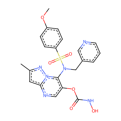 COc1ccc(S(=O)(=O)N(Cc2cccnc2)c2c(OC(=O)NO)cnc3cc(C)nn23)cc1